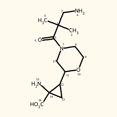 CC(C)(CN)C(=O)N1CCOC(C2CC2(N)C(=O)O)C1